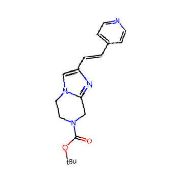 CC(C)(C)OC(=O)N1CCn2cc(/C=C/c3ccncc3)nc2C1